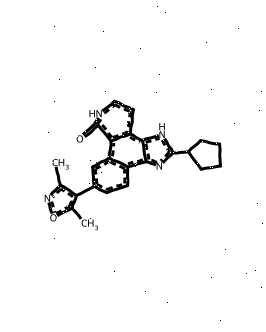 Cc1noc(C)c1-c1ccc2c(c1)c1c(=O)[nH]ccc1c1[nH]c(C3CCCC3)nc21